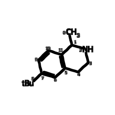 CC1NCCc2cc(C(C)(C)C)ccc21